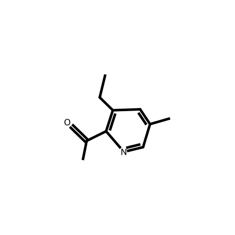 CCc1cc(C)cnc1C(C)=O